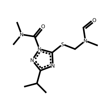 CC(C)c1nc(SCN(C)C=O)n(C(=O)N(C)C)n1